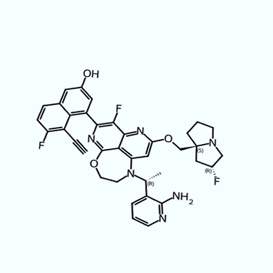 C#Cc1c(F)ccc2cc(O)cc(-c3nc4c5c(cc(OC[C@@]67CCCN6C[C@H](F)C7)nc5c3F)N([C@H](C)c3cccnc3N)CCO4)c12